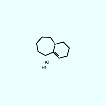 Br.C1CCC2=NCCCN2CC1.Cl